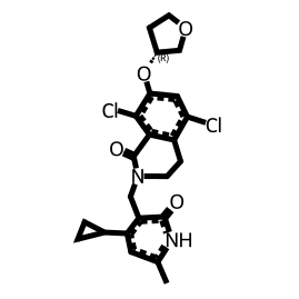 Cc1cc(C2CC2)c(CN2CCc3c(Cl)cc(O[C@@H]4CCOC4)c(Cl)c3C2=O)c(=O)[nH]1